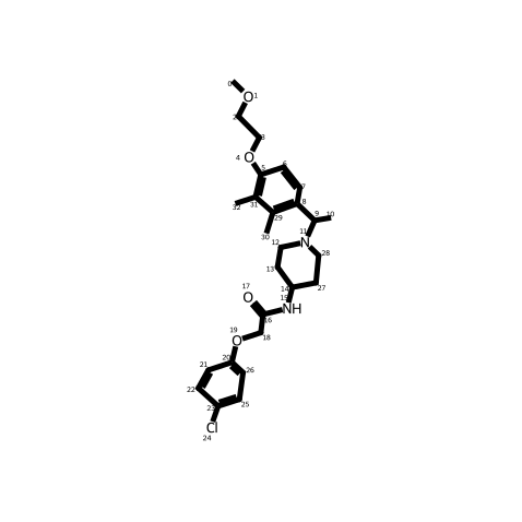 COCCOc1ccc(C(C)N2CCC(NC(=O)COc3ccc(Cl)cc3)CC2)c(C)c1C